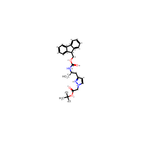 CCC(C)(CC)OC(=O)Cn1ccc(C[C@H](NC(=O)OCC2c3ccccc3-c3ccccc32)C(=O)O)n1